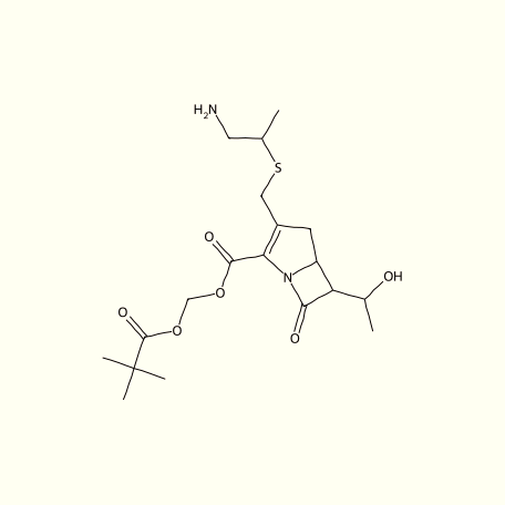 CC(CN)SCC1=C(C(=O)OCOC(=O)C(C)(C)C)N2C(=O)C(C(C)O)C2C1